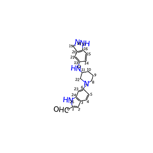 O=Cc1cc2ccc(N3CCCC(Nc4ccc5[nH]ncc5c4)C3)cc2[nH]1